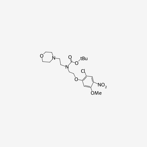 COc1cc(OCCN(CCN2CCOCC2)C(=O)OC(C)(C)C)c(Cl)cc1[N+](=O)[O-]